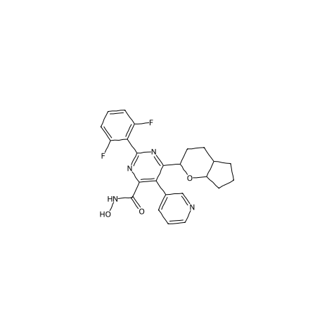 O=C(NO)c1nc(-c2c(F)cccc2F)nc(C2CCC3CCCC3O2)c1-c1cccnc1